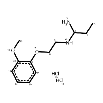 CCC(N)NCCOc1ccccc1OC.Cl.Cl